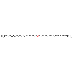 CCCCCCCCCCCCCCCCCCCCOCCCCCCCCCCCCCCCCCC